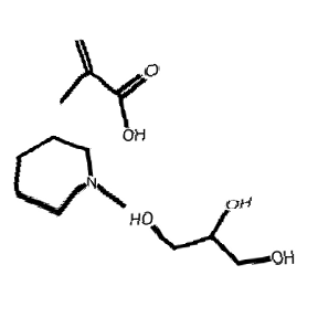 C=C(C)C(=O)O.CN1CCCCC1.OCC(O)CO